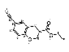 CCOC(=O)C1COc2ccc(C#N)cc2C1